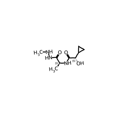 CNNC(=O)[C@H](C)NC(=O)[C@@H](O)C1CC1